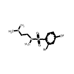 CN(C)CCN(C)S(=O)(=O)c1ccc(O)cc1Br